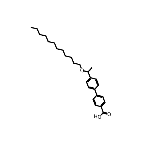 CCCCCCCCCCCCOC(C)c1ccc(-c2ccc(C(=O)O)cc2)cc1